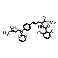 COC(=O)C(CC=Cc1ccc(N(CC=C(C)C)c2ncccn2)cc1)NC(=O)c1c(Cl)cccc1Cl